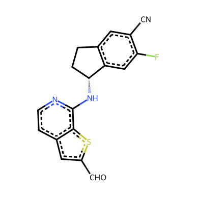 N#Cc1cc2c(cc1F)[C@H](Nc1nccc3cc(C=O)sc13)CC2